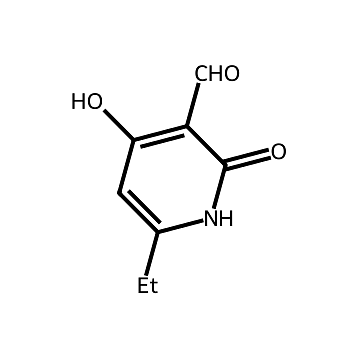 CCc1cc(O)c(C=O)c(=O)[nH]1